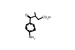 CC(CC(=O)O)C(=O)c1ccc(N)cc1